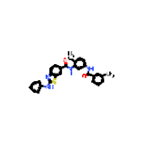 Cc1ccc(NC(=O)c2cccc(C(F)(F)F)c2)cc1NC(=O)c1ccc2nc(Nc3ccccc3)sc2c1